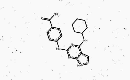 NC(=O)c1ccc(Nc2nc(NC3CCCCC3)c3cc[nH]c3n2)cc1